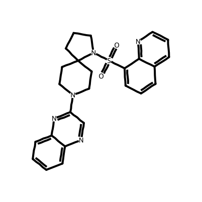 O=S(=O)(c1cccc2cccnc12)N1CCCC12CCN(c1cnc3ccccc3n1)CC2